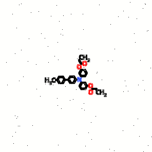 C=CC(=O)Oc1cccc(N(c2ccc(-c3ccc(C)cc3)cc2)c2cccc(OC(=O)C=C)c2)c1